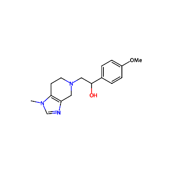 COc1ccc(C(O)CN2CCc3c(ncn3C)C2)cc1